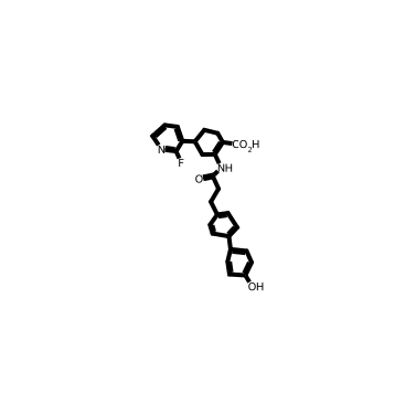 O=C(CCc1ccc(-c2ccc(O)cc2)cc1)NC1=C(C(=O)O)CCC(c2cccnc2F)C1